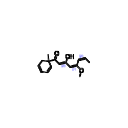 C\C=C/C(=C\C(O)=C\C(=O)C1(C)C=CC=CC1)OC